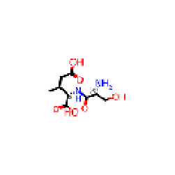 CC(CC(=O)O)[C@H](NC(=O)[C@H](N)CO)C(=O)O